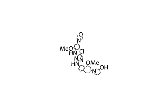 COc1cc(N2CCOCC2)ccc1Nc1nc(Nc2ccc3c(c2)C(OC)CC(N2CCCC(O)C2)CC3)ncc1Cl